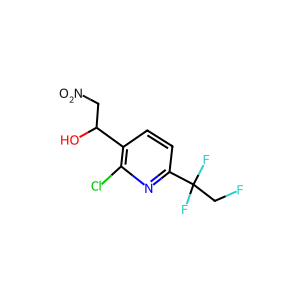 O=[N+]([O-])CC(O)c1ccc(C(F)(F)CF)nc1Cl